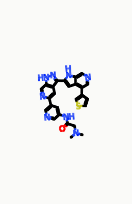 CN(C)CC(=O)Nc1cncc(-c2cc3c(-c4cc5c(-c6ccsc6)cncc5[nH]4)n[nH]c3cn2)c1